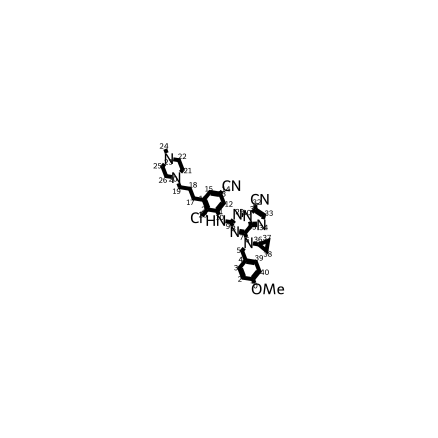 COc1ccc(CN(c2nc(Nc3cc(C#N)cc(CCCN4CCN(C)CC4)c3Cl)nn3c(C#N)cnc23)C2CC2)cc1